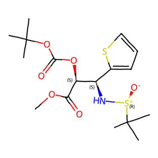 COC(=O)[C@@H](OC(=O)OC(C)(C)C)[C@H](N[S@@+]([O-])C(C)(C)C)c1cccs1